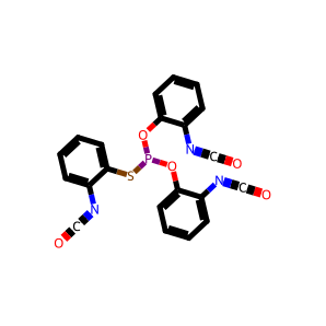 O=C=Nc1ccccc1OP(Oc1ccccc1N=C=O)Sc1ccccc1N=C=O